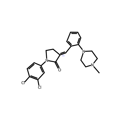 CN1CCN(c2ccccc2/C=C2\CCN(c3ccc(Cl)c(Cl)c3)C2=O)CC1